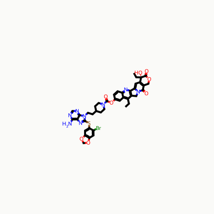 CCc1c2c(nc3ccc(OC(=O)N4CCC(CCn5c(Sc6cc7c(cc6Br)OCO7)nc6c(N)ncnc65)CC4)cc13)-c1cc3c(c(=O)n1C2)COC(=O)[C@]3(O)CC